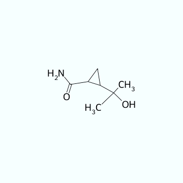 CC(C)(O)C1CC1C(N)=O